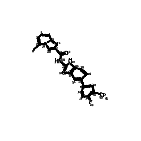 Cc1cccc2nc(C(=O)Nc3nc4cc(-c5ccc(F)c(C(F)(F)F)c5)ccc4[nH]3)cn12